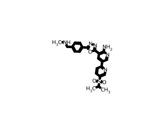 CNCc1ccc(-c2nnc(-c3cc(-c4ccc(S(=O)(=O)C(C)C)cn4)cnc3N)o2)cc1